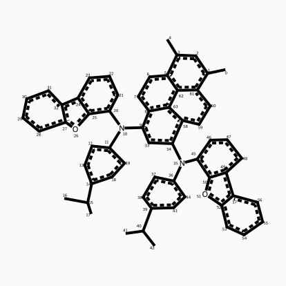 Cc1cc(C)c2ccc3c(N(c4ccc(C(C)C)cc4)c4cccc5c4oc4ccccc45)cc(N(c4ccc(C(C)C)cc4)c4cccc5c4oc4ccccc45)c4ccc1c2c43